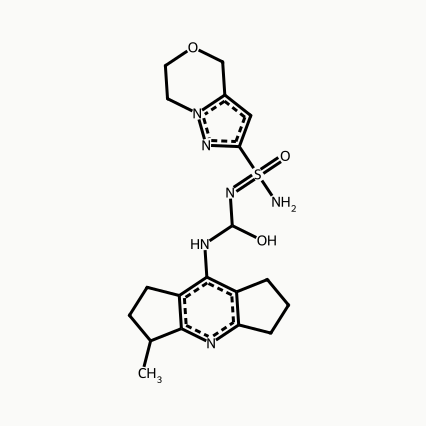 CC1CCc2c1nc1c(c2NC(O)N=S(N)(=O)c2cc3n(n2)CCOC3)CCC1